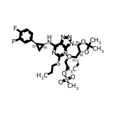 CCCSc1nc(N[C@@H]2C[C@H]2c2ccc(F)c(F)c2)c2nnn([C@@H]3OC(C)(C)O[C@@H]3[C@H](CC)OCCOS(C)(=O)=O)c2n1